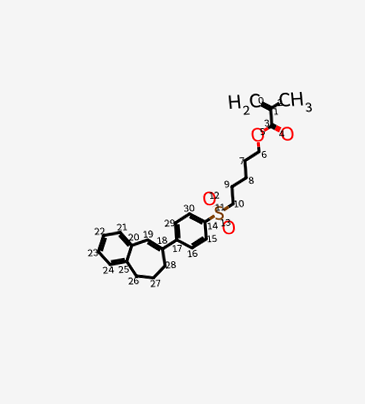 C=C(C)C(=O)OCCCCCS(=O)(=O)c1ccc(C2=Cc3ccccc3CCC2)cc1